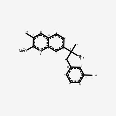 COc1nc2cc(C(C)(N)Cc3cccc(I)c3)ccc2cc1C